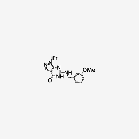 COc1cccc(CNc2nc3c(cnn3C(C)C)c(=O)[nH]2)c1